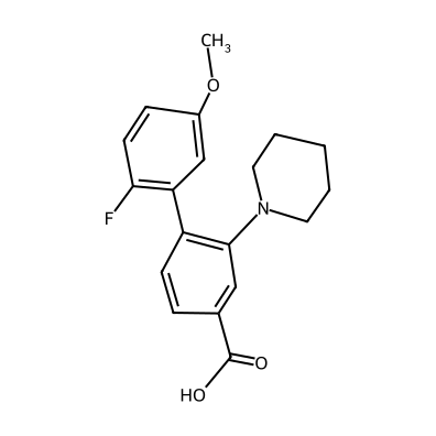 COc1ccc(F)c(-c2ccc(C(=O)O)cc2N2CCCCC2)c1